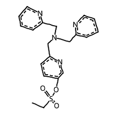 CCS(=O)(=O)Oc1ccc(CN(Cc2ccccn2)Cc2ccccn2)nc1